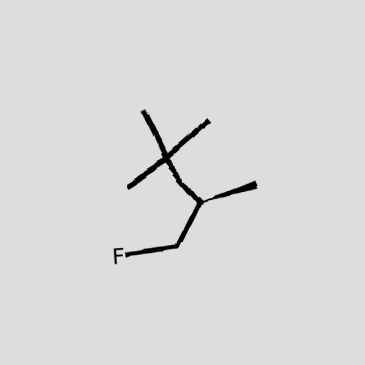 C[C@@H](CF)C(C)(C)C